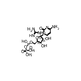 N=C(N)N[C@@]1(n2ccc(N)nc2=O)O[C@H](COP(=O)(O)OP(=O)(O)O)[C@@H](O)[C@H]1O